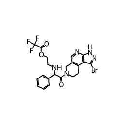 O=C(C(NCCOC(=O)C(F)(F)F)c1ccccc1)N1CCc2c(cnc3[nH]nc(Br)c23)C1